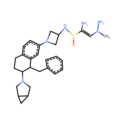 CN(N)/C=C(\N)[S+]([O-])NC1CN(c2ccc3c(c2)C(Cc2ccccc2)C(N2CC4CC4C2)CC3)C1